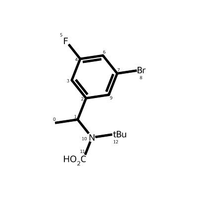 CC(c1cc(F)cc(Br)c1)N(C(=O)O)C(C)(C)C